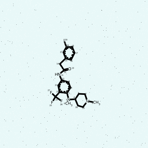 CN1CCC(N(C)c2ccc(NC(=O)Cc3cccc(I)c3)cc2C(F)(F)F)CC1